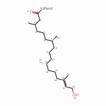 CCCCCC(=O)CC(C)CCC[C@@H](C)CCC[C@@H](C)CCC/C(C)=C/CO